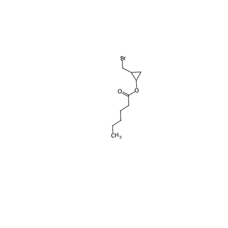 CCCCCC(=O)OC1CC1CBr